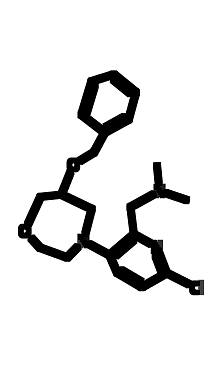 CN(C)Cc1nc(Cl)ccc1N1CCOCC(OCc2ccccc2)C1